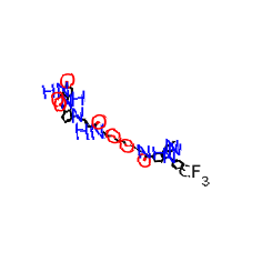 Cn1cc2c3cc(C(=O)NCCOCCOCCNC(=O)CCCNc4cccc5c4CN(C4CCC(=O)NC4=O)C5=O)ccc3n(-c3ccc(C(F)(F)F)cc3)c2n1